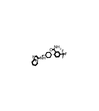 NC(=O)c1cc(C(F)(F)F)ccc1[C@H]1CC[C@H](CNc2cnc3ccccn23)CC1